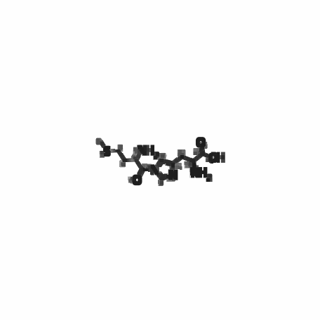 CSCCC(N)C(=O)n1cnc(C[C@H](N)C(=O)O)c1